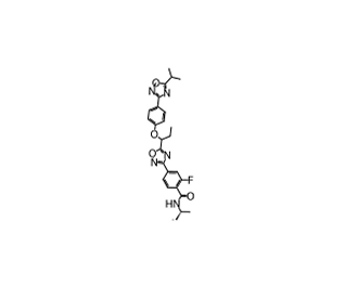 [CH2][C@H](C)NC(=O)c1ccc(-c2noc(C(CC)Oc3ccc(-c4noc(C(C)C)n4)cc3)n2)cc1F